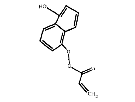 C=CC(=O)OOc1cccc2c(O)cccc12